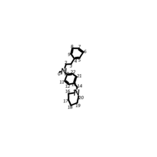 CN(CCc1ccccc1)c1ccc(CN2CCCCC2)cc1